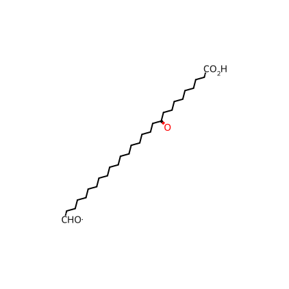 O=[C]CCCCCCCCCCCCCCCCCC(=O)CCCCCCCCC(=O)O